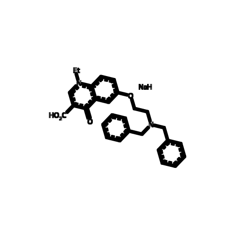 CCn1cc(C(=O)O)c(=O)c2cc(OCCN(Cc3ccccc3)Cc3ccccc3)ccc21.[NaH]